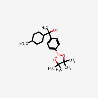 CC1(C)OB(c2ccc([C@@](C)(O)C3CCC(C(=O)O)CC3)cc2)OC1(C)C